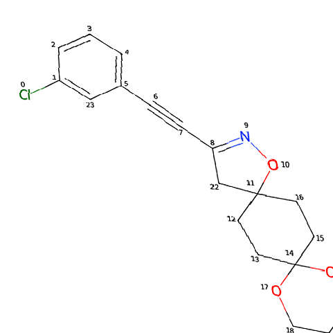 Clc1cccc(C#CC2=NOC3(CCC4(CC3)OCCCO4)C2)c1